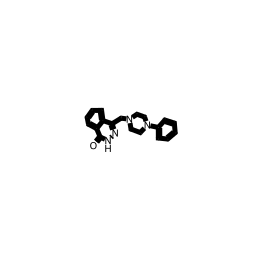 O=c1[nH]nc(CN2CCN(c3ccccc3)CC2)c2ccccc12